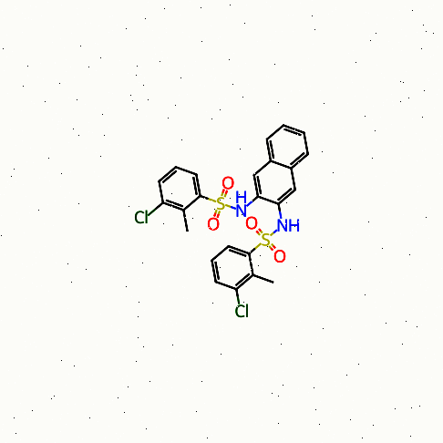 Cc1c(Cl)cccc1S(=O)(=O)Nc1cc2ccccc2cc1NS(=O)(=O)c1cccc(Cl)c1C